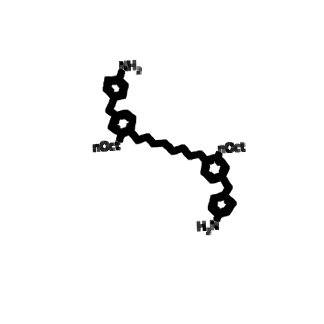 CCCCCCCCc1cc(Cc2ccc(N)cc2)ccc1CCCCCCCCc1ccc(Cc2ccc(N)cc2)cc1CCCCCCCC